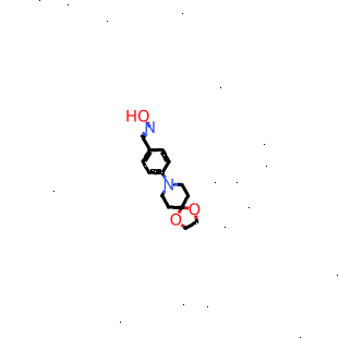 ON=Cc1ccc(N2CCC3(CC2)OCCO3)cc1